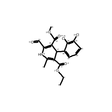 CCOC(=O)C1=C(C)NC(C=O)=C(C(=O)OC)C1c1cccc(Cl)c1Cl